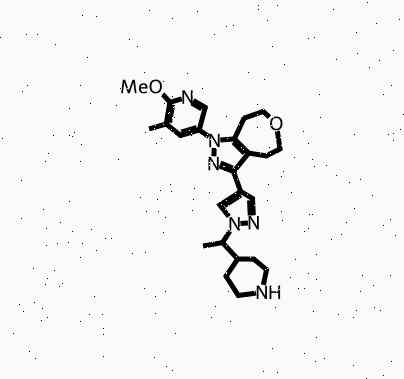 COc1ncc(-n2nc(-c3cnn(C(C)C4CCNCC4)c3)c3c2CCOCC3)cc1C